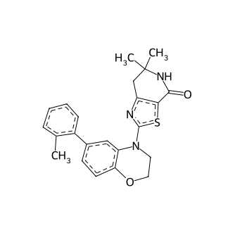 Cc1ccccc1-c1ccc2c(c1)N(c1nc3c(s1)C(=O)NC(C)(C)C3)CCO2